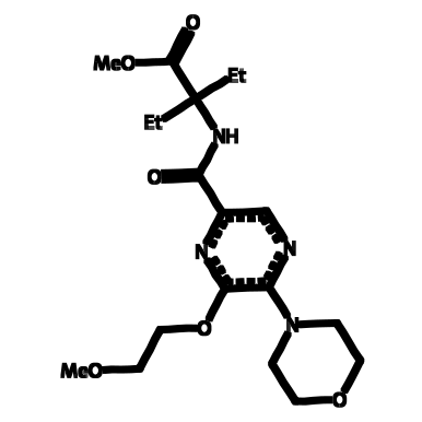 CCC(CC)(NC(=O)c1cnc(N2CCOCC2)c(OCCOC)n1)C(=O)OC